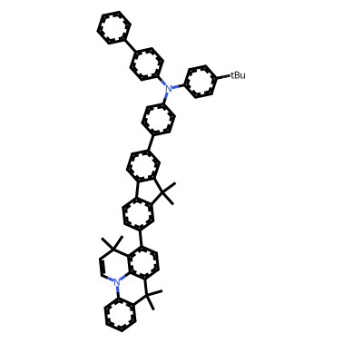 CC(C)(C)c1ccc(N(c2ccc(-c3ccccc3)cc2)c2ccc(-c3ccc4c(c3)C(C)(C)c3cc(-c5ccc6c7c5C(C)(C)C=CN7c5ccccc5C6(C)C)ccc3-4)cc2)cc1